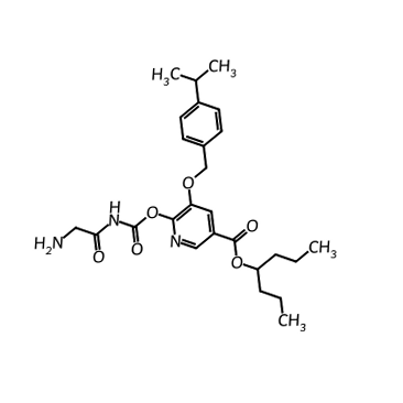 CCCC(CCC)OC(=O)c1cnc(OC(=O)NC(=O)CN)c(OCc2ccc(C(C)C)cc2)c1